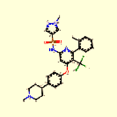 Cc1ccccc1-c1nc(NS(=O)(=O)c2cnn(C)c2)cc(Oc2ccc(C3CCN(C)CC3)cc2)c1C(F)(F)F